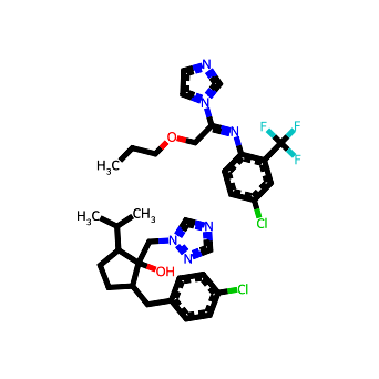 CC(C)C1CCC(Cc2ccc(Cl)cc2)C1(O)Cn1cncn1.CCCOC/C(=N\c1ccc(Cl)cc1C(F)(F)F)n1ccnc1